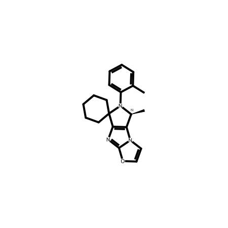 Cc1ccccc1N1[C@@H](C)c2c(nc3occn23)C12CCCCC2